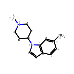 CN1CCC(n2ccc3ccc([N+](=O)[O-])cc32)CC1